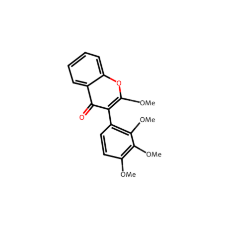 COc1ccc(-c2c(OC)oc3ccccc3c2=O)c(OC)c1OC